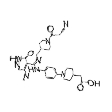 C=Nc1cn[nH]c(=O)c1/C(=N\CC1CCN(C(=O)CC#N)CC1)Nc1ccc(N2CCC(CC(=O)O)CC2)cc1